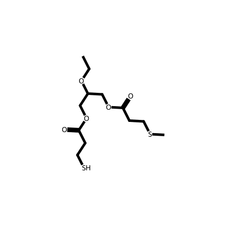 CCOC(COC(=O)CCS)COC(=O)CCSC